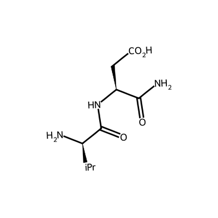 CC(C)[C@@H](N)C(=O)N[C@@H](CC(=O)O)C(N)=O